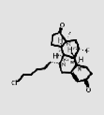 C[C@]12C[C@H](F)[C@H]3[C@@H]([C@@H](CCCCCCl)CC4=CC(=O)CC[C@@H]43)[C@@H]1CCC2=O